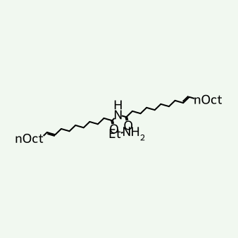 CCCCCCCCC=CCCCCCCCC(=O)NC(=O)CCCCCCCC=CCCCCCCCC.CCN